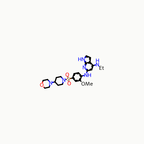 CCNc1cc(Nc2ccc(S(=O)(=O)N3CCC(N4CCOCC4)CC3)cc2OC)nc2[nH]ccc12